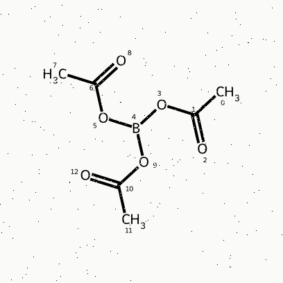 CC(=O)OB(OC(C)=O)OC(C)=O